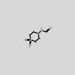 O=S1(=O)CCN(OC=S)CC1